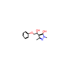 Cc1nn(C)c(O)c1C(O)COc1ccccc1